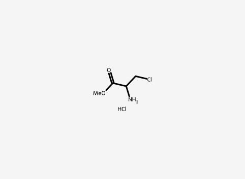 COC(=O)C(N)CCl.Cl